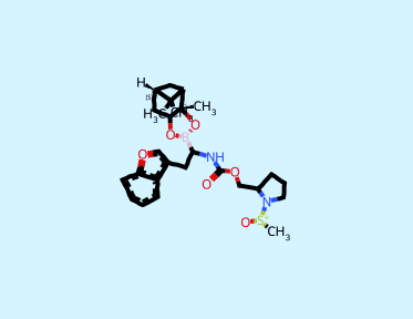 C[S+]([O-])N1CCCC1COC(=O)NC(Cc1coc2ccccc12)B1OC2C[C@@H]3CC(C3(C)C)[C@]2(C)O1